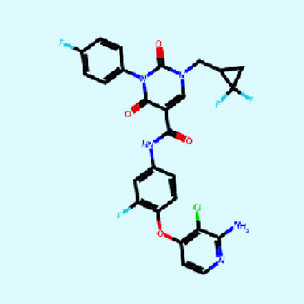 Nc1nccc(Oc2ccc(NC(=O)c3cn(CC4CC4(F)F)c(=O)n(-c4ccc(F)cc4)c3=O)cc2F)c1Cl